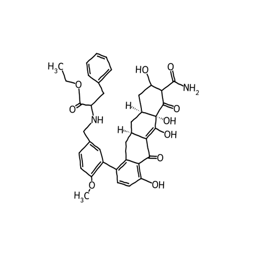 CCOC(=O)C(Cc1ccccc1)NCc1ccc(OC)c(-c2ccc(O)c3c2C[C@H]2C[C@H]4CC(O)C(C(N)=O)C(=O)[C@@]4(O)C(O)=C2C3=O)c1